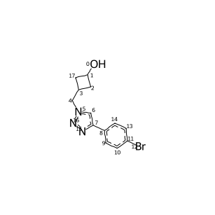 OC1CC(Cn2cc(-c3ccc(Br)cc3)nn2)C1